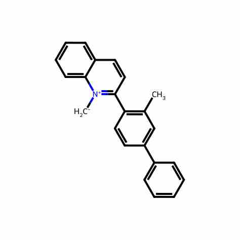 [CH2-][n+]1c(-c2ccc(-c3ccccc3)cc2C)ccc2ccccc21